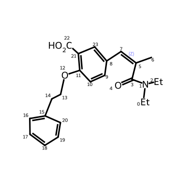 CCN(CC)C(=O)/C(C)=C\c1ccc(OCCc2ccccc2)c(C(=O)O)c1